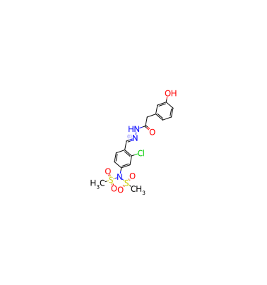 CS(=O)(=O)N(c1ccc(/C=N/NC(=O)Cc2cccc(O)c2)c(Cl)c1)S(C)(=O)=O